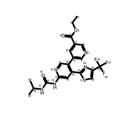 CCOC(=O)c1cncc(-c2cnc(NC(=O)NC(C)C)cc2-c2nc(C(F)(F)F)cs2)c1